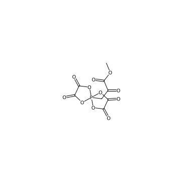 COC(=O)C(=O)CP12(OC(=O)C(=O)O1)OC(=O)C(=O)O2